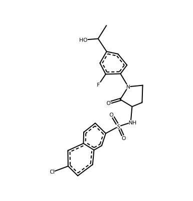 CC(O)c1ccc(N2CCC(NS(=O)(=O)c3ccc4cc(Cl)ccc4c3)C2=O)c(F)c1